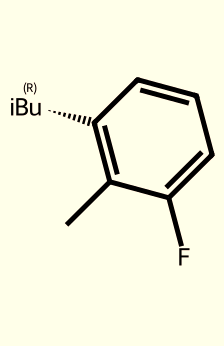 CC[C@@H](C)c1cccc(F)c1C